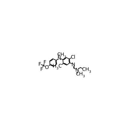 CCN(C)C=Nc1cc(C)c(N(C)c2ccc(OC(F)(F)F)cc2)cc1Cl